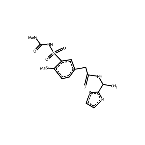 CNC(=O)NS(=O)(=O)c1cc(CC(=O)NC(C)c2nccs2)ccc1SC